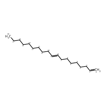 C=CCCCCCCC=CCCCCCCCCC